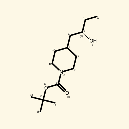 CC[C@H](O)CC1CCN(C(=O)OC(C)(C)C)CC1